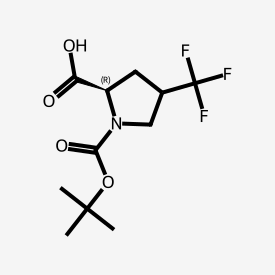 CC(C)(C)OC(=O)N1CC(C(F)(F)F)C[C@@H]1C(=O)O